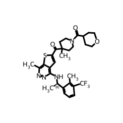 Cc1c([C@@H](C)Nc2nnc(C)c3sc(C(=O)C4(C)CCN(C(=O)C5CCOCC5)CC4)cc23)cccc1C(F)(F)F